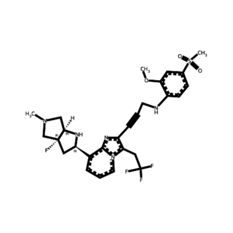 COc1cc(S(C)(=O)=O)ccc1NCC#Cc1nc2c([C@H]3C[C@@]4(F)CN(C)C[C@H]4N3)cccn2c1CC(F)(F)F